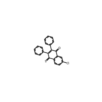 O=C1C(c2ccccc2)=C(c2ccccc2)C(=S)c2ccc(Cl)cc21